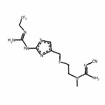 CN(CCSCc1csc(NC(N)=NCC(F)(F)F)n1)C(N)=NC#N